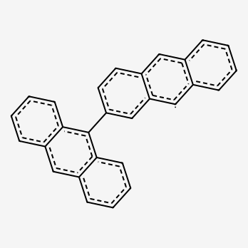 [c]1c2ccccc2cc2ccc(-c3c4ccccc4cc4ccccc34)cc12